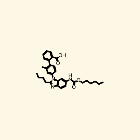 CCCCCCOC(=O)Nc1ccc2nc(CCCC)n(-c3ccc(-c4ccccc4C(=O)O)c(C)c3)c2c1